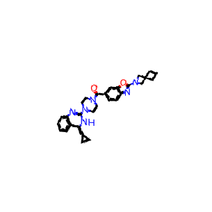 O=C(c1ccc2nc(N3CC4(CCC4)C3)oc2c1)N1CCN(C2=Nc3ccccc3C(=C3CC3)N2)CC1